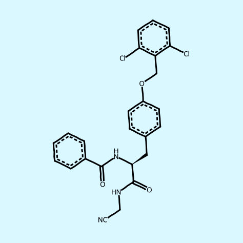 N#CCNC(=O)[C@H](Cc1ccc(OCc2c(Cl)cccc2Cl)cc1)NC(=O)c1ccccc1